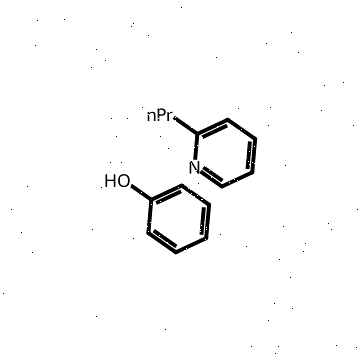 CCCc1ccccn1.Oc1ccccc1